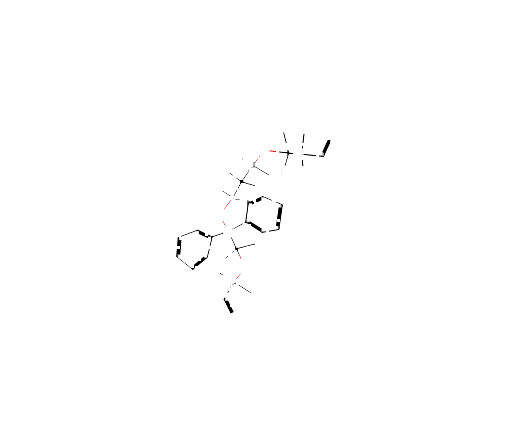 C=C[Si](C)(C)OC(CC)(CC)[Si](OC(CC)(CC)C(C)(CC)[Si](C)(C)OC(C)(CC)[Si](C)(C)C=C)(c1ccccc1)c1ccccc1